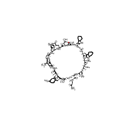 CCCC[C@H]1C(=O)N(C)[C@@H](CCCC)C(=O)N[C@@H](CC(C)C)C(=O)N[C@H](C(=O)NCC(N)=O)CSCC(=O)N[C@@H](Cc2ccc(O)cc2)C(=O)N(C)[C@@H](C)C(=O)N[C@H]2CC(N)=C3CC[C@@H](C(=O)N[C@@H](Cc4c[nH]cn4)C(=O)N[C@@H](CCC(N)=O)C(=O)N4C[C@H](O)C[C@H]4C(=O)N[C@@H](Cc4c[nH]c5ccccc45)C(=O)NCC(=O)N[C@@H](Cc4c[nH]c5ccccc45)C(=O)N1C)N3C2=O